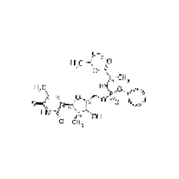 Cc1cn([C@H]2O[C@@H](CO[P@](=O)(N[C@@H](C)C(=O)OC(C)C)Oc3ccccc3)C(O)[C@H]2C)c(=O)[nH]c1=S